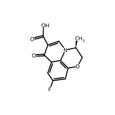 C[C@H]1COc2cc(F)cc3c(=O)c(C(=O)O)cn1c23